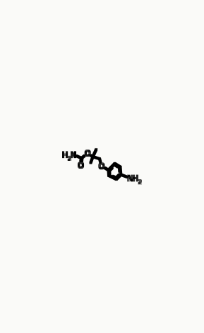 CC(C)(COc1ccc(N)cc1)OC(N)=O